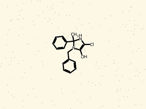 CC1(c2ccccc2)NC(Cl)=C(O)N1Cc1ccccc1